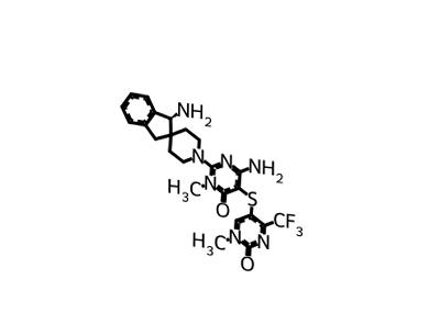 Cn1cc(Sc2c(N)nc(N3CCC4(CC3)Cc3ccccc3[C@H]4N)n(C)c2=O)c(C(F)(F)F)nc1=O